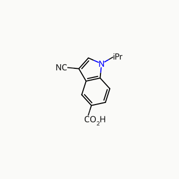 CC(C)n1cc(C#N)c2cc(C(=O)O)ccc21